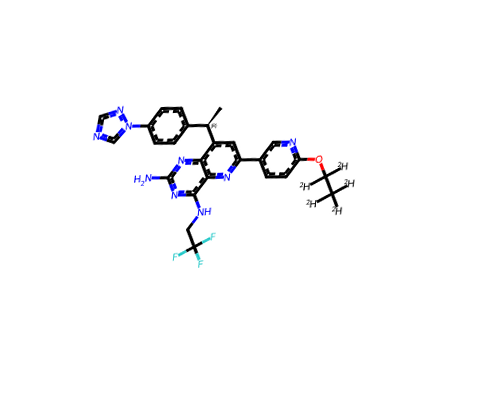 [2H]C([2H])([2H])C([2H])([2H])Oc1ccc(-c2cc([C@H](C)c3ccc(-n4cncn4)cc3)c3nc(N)nc(NCC(F)(F)F)c3n2)cn1